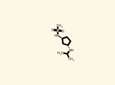 CC(C)N[C@H]1CC[C@H](NS(C)(=O)=O)C1